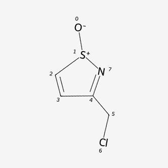 [O-][s+]1ccc(CCl)n1